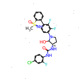 CS(=N)(=O)c1ccccc1-c1ccc(N2CC[C@@H](NC(=O)Nc3ccc(Cl)cc3F)C2O)c(F)c1F